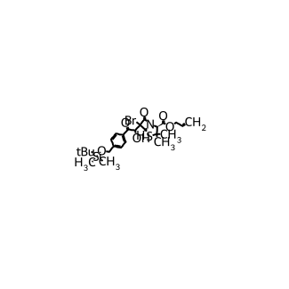 C=CCOC(=O)[C@@H]1N2C(=O)C(Br)(C(O)C(=O)c3ccc(CO[Si](C)(C)C(C)(C)C)cc3)[C@H]2SC1(C)C